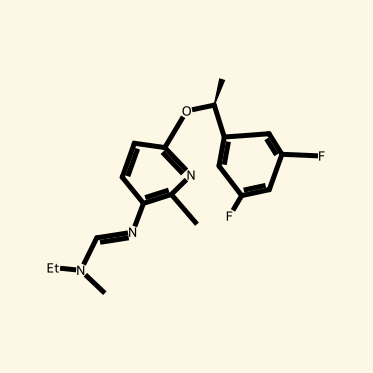 CCN(C)/C=N/c1ccc(O[C@@H](C)c2cc(F)cc(F)c2)nc1C